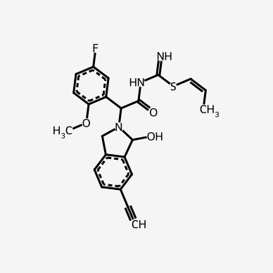 C#Cc1ccc2c(c1)C(O)N(C(C(=O)NC(=N)S/C=C\C)c1cc(F)ccc1OC)C2